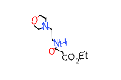 CCOC(=O)CC(=O)NCCN1CCOCC1